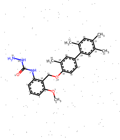 COc1cccc(NC(=O)NN)c1COc1ccc(-c2cc(C)c(C)cc2C)cc1C